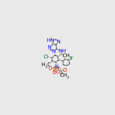 Cc1c(Cl)cc(C(C)Nc2ncnc3[nH]cnc23)c(-c2cccc(F)c2)c1N(CS(C)(=O)=O)[SH](=O)=O